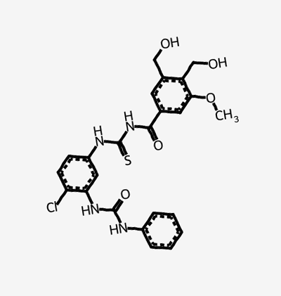 COc1cc(C(=O)NC(=S)Nc2ccc(Cl)c(NC(=O)Nc3ccccc3)c2)cc(CO)c1CO